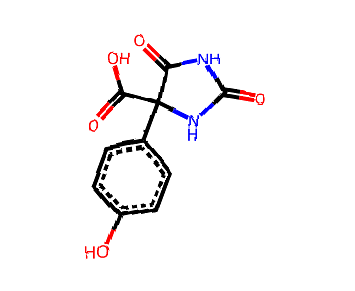 O=C1NC(=O)C(C(=O)O)(c2ccc(O)cc2)N1